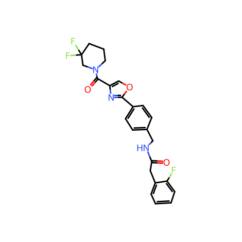 O=C(Cc1ccccc1F)NCc1ccc(-c2nc(C(=O)N3CCCC(F)(F)C3)co2)cc1